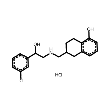 Cl.Oc1cccc2c1CCC(CNCC(O)c1cccc(Cl)c1)C2